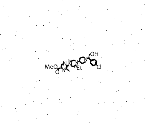 CC[C@H]1CN(c2ncc(C(=O)OC)nc2C)[C@H](C)CN1C1CCN([C@@H](CO)c2ccc(Cl)cc2)CC1